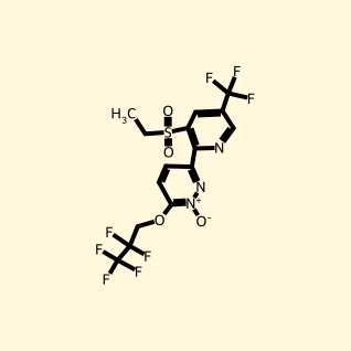 CCS(=O)(=O)c1cc(C(F)(F)F)cnc1-c1ccc(OCC(F)(F)C(F)(F)F)[n+]([O-])n1